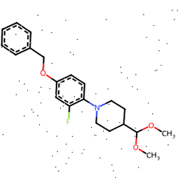 COC(OC)C1CCN(c2ccc(OCc3ccccc3)cc2F)CC1